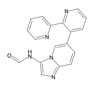 O=CNc1cnc2ccc(-c3cccnc3-c3ccccn3)cn12